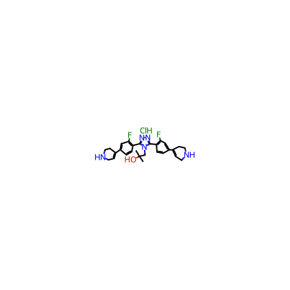 CC(C)(O)Cn1c(-c2ccc(C3=CCNCC3)cc2F)nnc1-c1ccc(C2=CCNCC2)cc1F.Cl